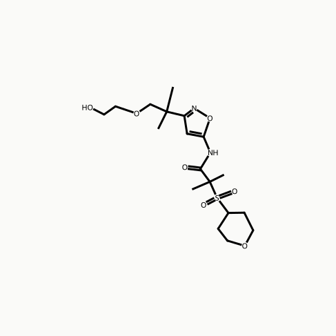 CC(C)(COCCO)c1cc(NC(=O)C(C)(C)S(=O)(=O)C2CCOCC2)on1